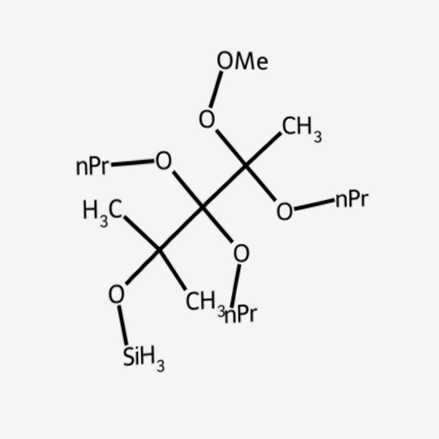 CCCOC(C)(OOC)C(OCCC)(OCCC)C(C)(C)O[SiH3]